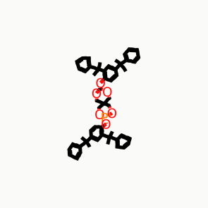 CC(C)(c1ccccc1)c1ccc(OC2OCC3(CO2)COP(Oc2ccc(C(C)(C)c4ccccc4)cc2C(C)(C)c2ccccc2)OC3)c(C(C)(C)c2ccccc2)c1